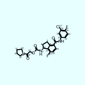 O=C(N[C@H]1CCc2c(C(=O)Nc3ccc(F)c(Cl)c3)ccc(F)c21)OCC(=O)N1CCCC1